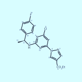 CCOC(=O)c1cnn(-c2cc(Cl)nc(N[C@@H](C)c3ccc(F)cc3)n2)c1